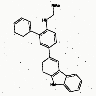 CNCNc1ccc(C2=Cc3c([nH]c4ccccc34)CC2)cc1C1=CC=CCC1